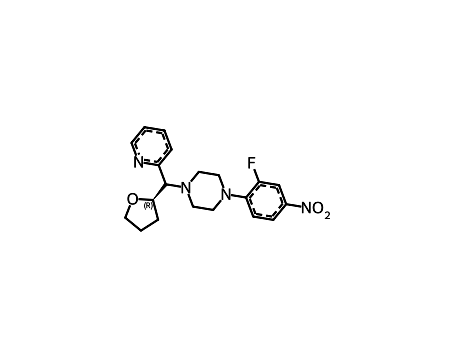 O=[N+]([O-])c1ccc(N2CCN(C(c3ccccn3)[C@H]3CCCO3)CC2)c(F)c1